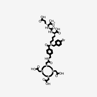 CC(=O)[C@@H](CCC(=O)O)NC(=O)N[C@H](CCCCN(Cc1ccc(Br)cc1)C(=O)c1ccc(CNC(=O)CN2CCN(CC(=O)O)CCN(CC(=O)O)CCN(CC(=O)O)CC2)cc1)C(=O)O